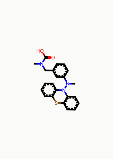 CN(Cc1cccc(N(C)N2c3ccccc3Sc3ccccc32)c1)C(=O)O